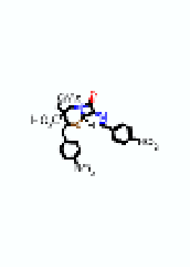 COCC1(C(=O)O)CN2C(=O)C(N=Cc3ccc([N+](=O)[O-])cc3)[C@H]2SC1Cc1ccc([N+](=O)[O-])cc1